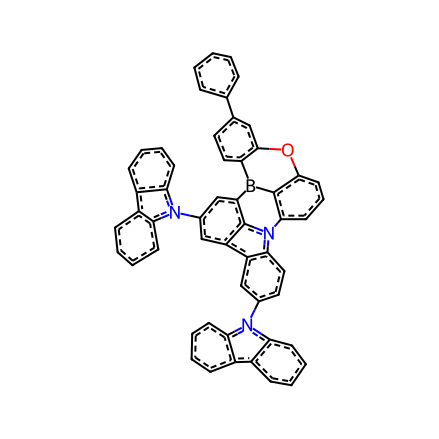 c1ccc(-c2ccc3c(c2)Oc2cccc4c2B3c2cc(-n3c5ccccc5c5ccccc53)cc3c5cc(-n6c7ccccc7c7ccccc76)ccc5n-4c23)cc1